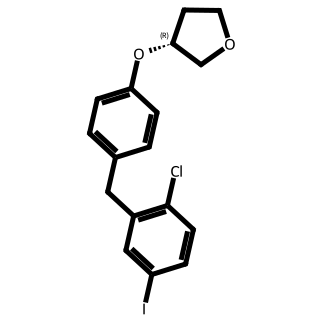 Clc1ccc(I)cc1Cc1ccc(O[C@@H]2CCOC2)cc1